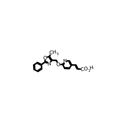 Cc1oc(-c2ccccc2)nc1COc1ccc(C=CC(=O)O)cn1